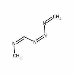 C=N/N=N\C=N/C